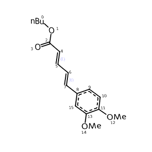 CCCCOC(=O)/C=C/C=C/c1ccc(OC)c(OC)c1